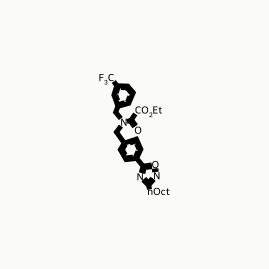 CCCCCCCCc1noc(-c2ccc(CN(Cc3cccc(C(F)(F)F)c3)C(=O)C(=O)OCC)cc2)n1